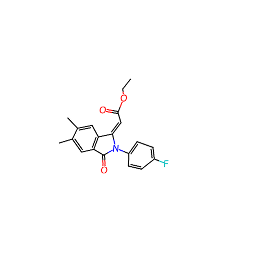 CCOC(=O)C=C1c2cc(C)c(C)cc2C(=O)N1c1ccc(F)cc1